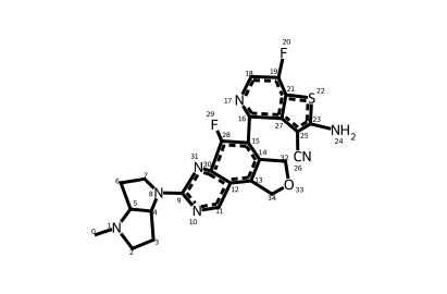 CN1CCC2C1CCN2c1ncc2c3c(c(-c4ncc(F)c5sc(N)c(C#N)c45)c(F)c2n1)COC3